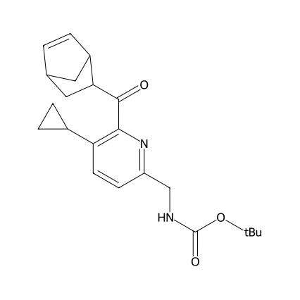 CC(C)(C)OC(=O)NCc1ccc(C2CC2)c(C(=O)C2CC3C=CC2C3)n1